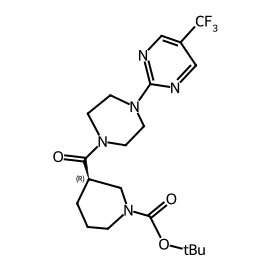 CC(C)(C)OC(=O)N1CCC[C@@H](C(=O)N2CCN(c3ncc(C(F)(F)F)cn3)CC2)C1